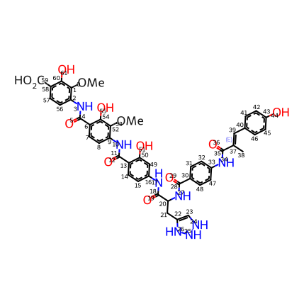 COc1c(NC(=O)c2ccc(NC(=O)c3ccc(NC(=O)C(CC4=CNNN4)NC(=O)c4ccc(NC(=O)/C(C)=C/c5ccc(O)cc5)cc4)cc3O)c(OC)c2O)ccc(C(=O)O)c1O